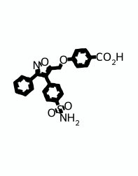 NS(=O)(=O)c1ccc(-c2c(-c3ccccc3)noc2COc2ccc(C(=O)O)cc2)cc1